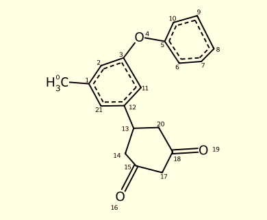 Cc1cc(Oc2ccccc2)cc(C2CC(=O)CC(=O)C2)c1